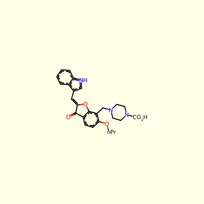 CCCOc1ccc2c(c1CN1CCN(C(=O)O)CC1)O/C(=C\c1c[nH]c3ccccc13)C2=O